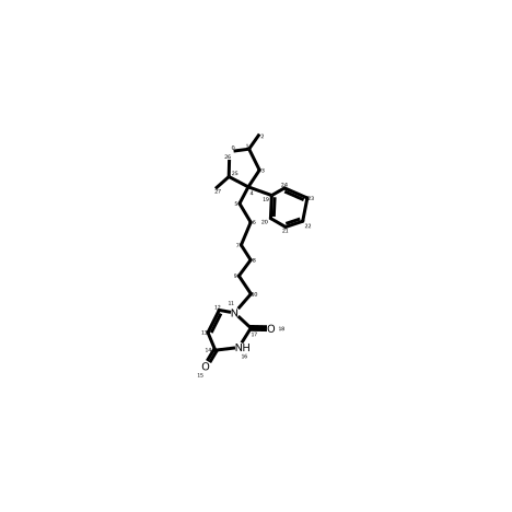 CC(C)CC(CCCCCCn1ccc(=O)[nH]c1=O)(c1ccccc1)C(C)C